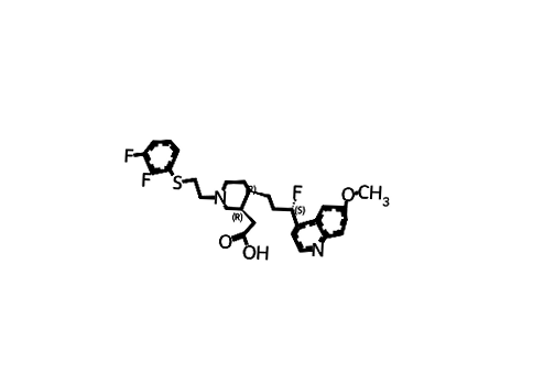 COc1ccc2nccc([C@@H](F)CC[C@@H]3CCN(CCSc4cccc(F)c4F)C[C@@H]3CC(=O)O)c2c1